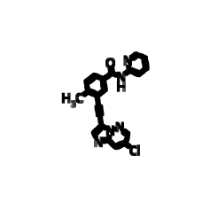 Cc1ccc(C(=O)Nc2ccccn2)cc1C#Cc1cnc2cc(Cl)cnn12